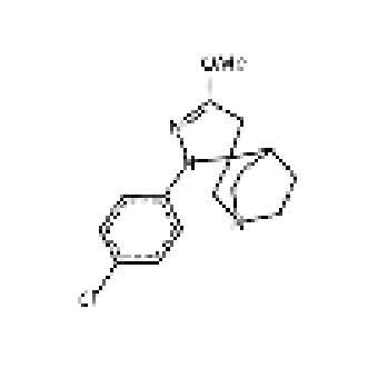 COC1=NN(c2ccc(Cl)cc2)C2(C1)CN1CCC2CC1